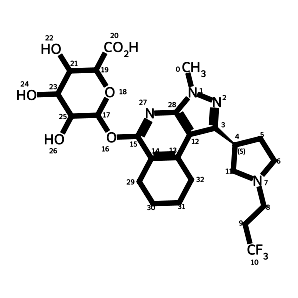 Cn1nc([C@H]2CCN(CCC(F)(F)F)C2)c2c3c(c(OC4OC(C(=O)O)C(O)C(O)C4O)nc21)CCCC3